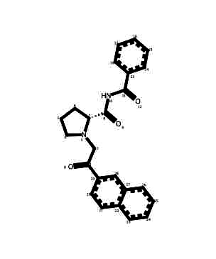 O=C(CN1CCC[C@@H]1C(=O)NC(=O)c1ccccc1)c1ccc2ccccc2c1